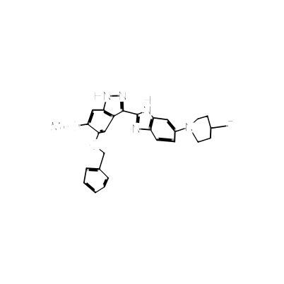 COc1cc2[nH]nc(-c3nc4ccc(N5CCC(F)CC5)cc4[nH]3)c2cc1OCc1ccccc1